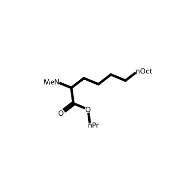 CCCCCCCCCCCCC(NC)C(=O)OCCC